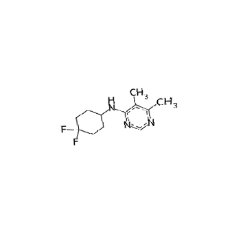 Cc1ncnc(NC2CCC(F)(F)CC2)c1C